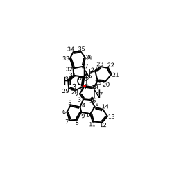 Cc1cc2c3ccccc3c3ccccc3c2nc1-c1ccccc1-n1c2ccccc2c2ccccc21